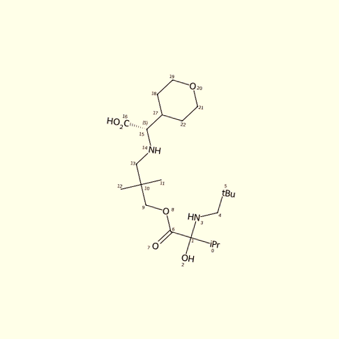 CC(C)C(O)(NCC(C)(C)C)C(=O)OCC(C)(C)CN[C@H](C(=O)O)C1CCOCC1